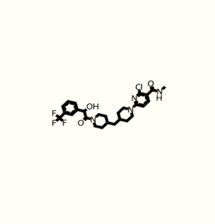 CNC(=O)c1ccc(N2CCC(CC3CCN(C(=O)C(O)c4cccc(C(F)(F)F)c4)CC3)CC2)nc1Cl